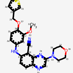 COc1cc(Nc2ccc3ncc(N4CCOCC4)nc3c2C#N)ccc1OCc1ccsc1